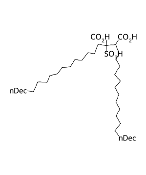 CCCCCCCCCCCCCCCCCCCCCCC(C(=O)O)C(CCCCCCCCCCCCCCCCCCCCCC)(C(=O)O)S(=O)(=O)O